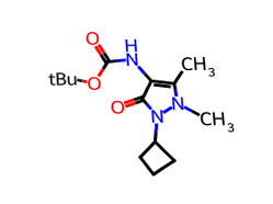 Cc1c(NC(=O)OC(C)(C)C)c(=O)n(C2CCC2)n1C